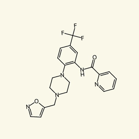 O=C(Nc1cc(C(F)(F)F)ccc1N1CCN(Cc2ccno2)CC1)c1ccccn1